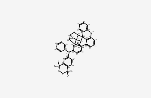 CC1(C)CCC(C)(C)c2cc(N(c3ccccc3)c3ccc(-c4cccc5c4C4(c6ccccc6S5)C5CC6CC7CC4C75C6)cc3)ccc21